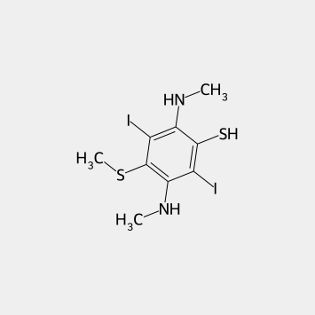 CNc1c(S)c(I)c(NC)c(SC)c1I